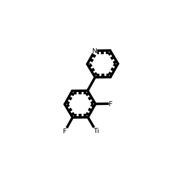 Fc1ccc(-c2cccnc2)c(F)[c]1[Ti]